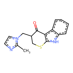 Cc1nccn1CC1CSc2[nH]c3ccccc3c2C1=O